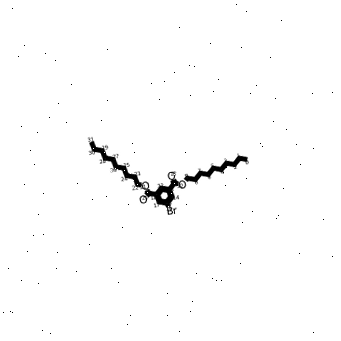 CCCCCCCCCCOC(=O)c1cc(Br)cc(C(=O)OCCCCCCCCCC)c1